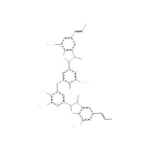 C/C=C/c1cc(OC)c2c(c1)C(C)C(c1cc(Cc3cc(C4Oc5c(OC)cc(/C=C/C)cc5C4C)cc(OC)c3O)c(O)c(OC)c1)O2